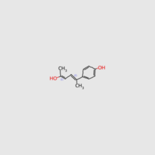 C/C(O)=C\C=C(/C)c1ccc(O)cc1